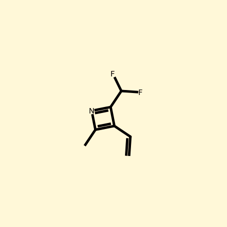 C=CC1=C(C)N=C1C(F)F